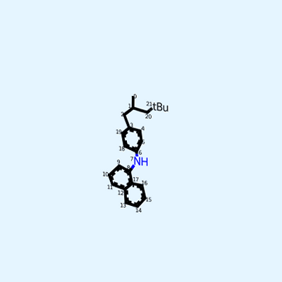 CC(Cc1ccc(Nc2cccc3ccccc23)cc1)CC(C)(C)C